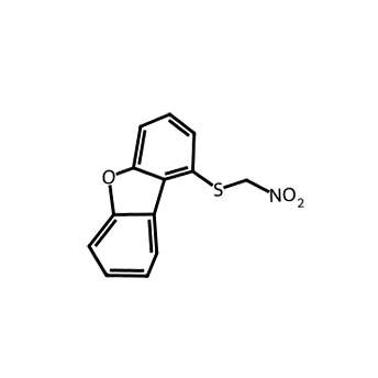 O=[N+]([O-])CSc1cccc2oc3ccccc3c12